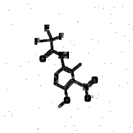 COc1ccc(NC(=O)C(F)(F)F)c(C)c1[N+](=O)[O-]